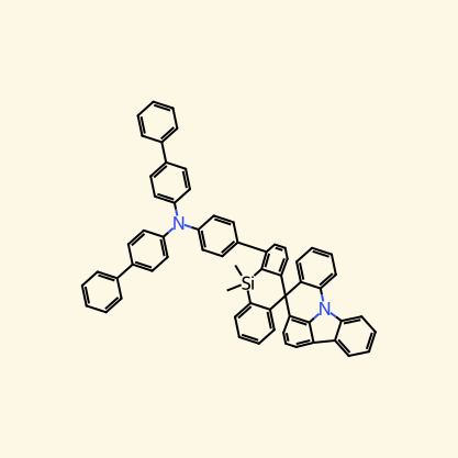 C[Si]1(C)c2ccccc2C2(c3ccccc3-n3c4ccccc4c4cccc2c43)c2cccc(-c3ccc(N(c4ccc(-c5ccccc5)cc4)c4ccc(-c5ccccc5)cc4)cc3)c21